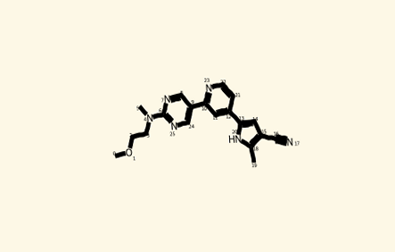 COCCN(C)c1ncc(-c2cc(-c3cc(C#N)c(C)[nH]3)ccn2)cn1